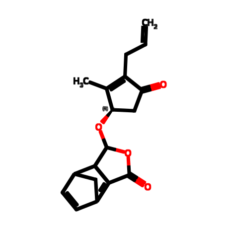 C=CCC1=C(C)[C@H](OC2OC(=O)C3=C4C=CC(C4)C32)CC1=O